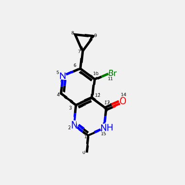 Cc1nc2cnc(C3CC3)c(Br)c2c(=O)[nH]1